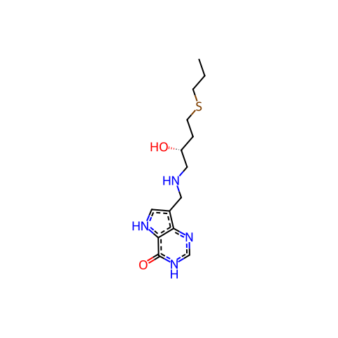 CCCSCC[C@@H](O)CNCc1c[nH]c2c(=O)[nH]cnc12